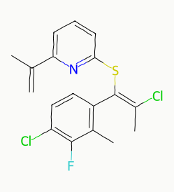 C=C(C)c1cccc(S/C(=C(/C)Cl)c2ccc(Cl)c(F)c2C)n1